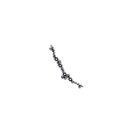 C=CC(=O)CCCCCOc1ccc(C(=O)Oc2ccc(/C=N/N=C/c3ccc(OC(=O)c4ccc(OCCCCOC(=O)C=C)cc4)cc3)cc2C(=O)OC)cc1